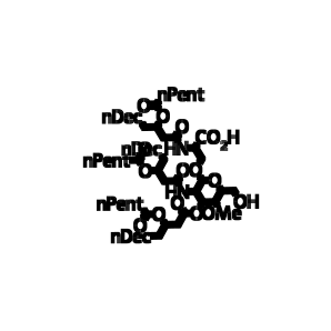 CCCCCCCCCCCC(CC(=O)NC(COC1OC(CO)C(OC)C(OC(=O)CC(CCCCCCCCCCC)OC(=O)CCCCC)C1NC(=O)CC(CCCCCCCCCCC)OC(=O)CCCCC)C(=O)O)OC(=O)CCCCC